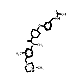 Cc1cc(N(C)C(=O)C2CCC(Oc3cccc(CNC(=O)O)c3)CC2)ccc1CN1CCN[C@@H](C)C1